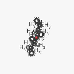 C=CC1=C2/C(=C3\C(=O)C(C4=C5\Nc6c(C)cc(-c7cc(C)c8c(c7)C7(C)CCCCCCC7=N8)cc6C5(C)CCCCC\4)=C3O)CCCCCC2(C)c2cc(-c3cc(C)c4c(c3)C3(C)CCCCCCC3=N4)cc(C)c2C1